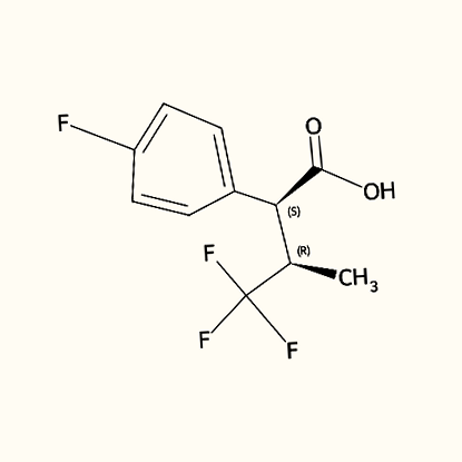 C[C@H]([C@H](C(=O)O)c1ccc(F)cc1)C(F)(F)F